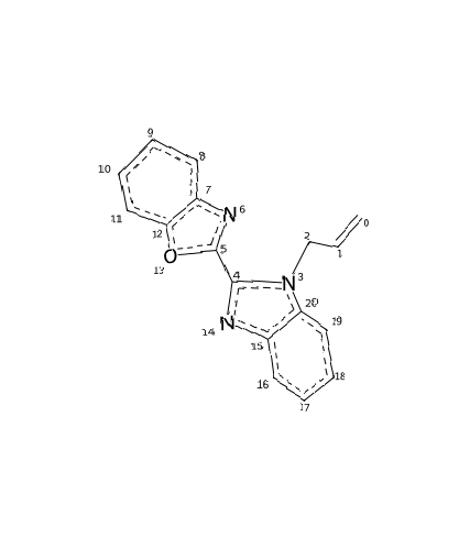 C=CCn1c(-c2nc3ccccc3o2)nc2ccccc21